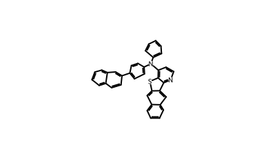 c1ccc(N(c2ccc(-c3ccc4ccccc4c3)cc2)c2ccnc3c2sc2cc4ccccc4cc23)cc1